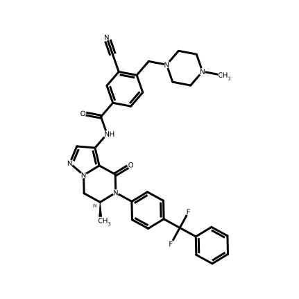 C[C@H]1Cn2ncc(NC(=O)c3ccc(CN4CCN(C)CC4)c(C#N)c3)c2C(=O)N1c1ccc(C(F)(F)c2ccccc2)cc1